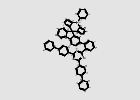 c1ccc(-c2ccc(-c3nc(-c4ccc(-c5ccccc5)cc4)nc(-c4ccccc4-c4ccc5c(c4)C4(c6ccccc6-5)c5ccccc5N(c5ccccc5)c5ccccc54)n3)cc2)cc1